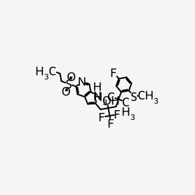 CCCS(=O)(=O)c1cc2cc(CC(O)(CC(C)(C)c3cc(F)ccc3SC)C(F)(F)F)[nH]c2cn1